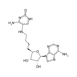 Nc1nc(=O)[nH]cc1NCCSC[C@H]1O[C@@H](n2cnc3c(N)ncnc32)[C@H](O)[C@@H]1O